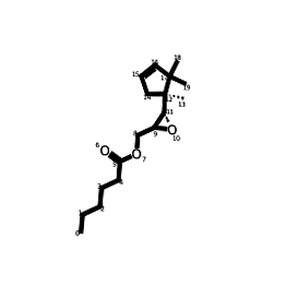 CCCCCC(=O)OCC1O[C@H]1[C@@]1(C)CC=CC1(C)C